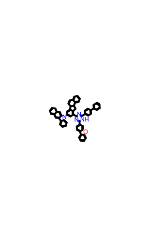 c1ccc(-c2ccc(C3=NC(c4cc(-n5c6c(c7ccccc75)=CC5=CC=CCC5C=6)cc5c4CC4c6ccccc6C=CC54)=NC(c4ccc5c(c4)oc4ccccc45)N3)cc2)cc#1